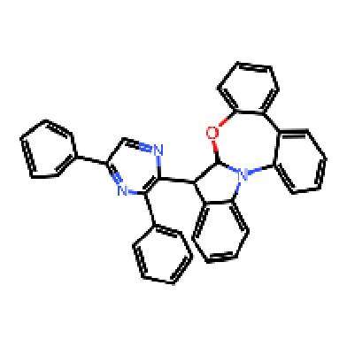 c1ccc(-c2cnc(C3c4ccccc4N4c5ccccc5-c5ccccc5OC34)c(-c3ccccc3)n2)cc1